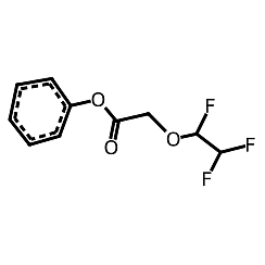 O=C(COC(F)C(F)F)Oc1ccccc1